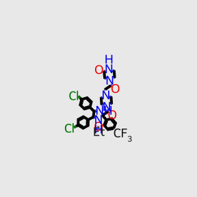 CCOc1cc(C(F)(F)F)ccc1C1(C(=O)N2CCN(CC(=O)N3CCNC(=O)C3)CC2)NC(c2ccc(Cl)cc2)C(c2ccc(Cl)cc2)N1